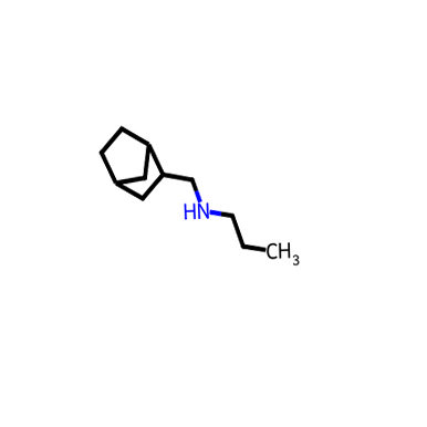 CCCNCC1CC2CCC1C2